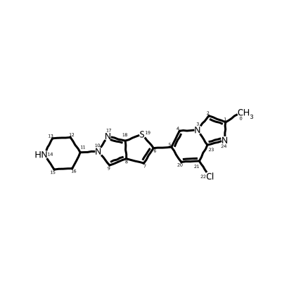 Cc1cn2cc(-c3cc4cn(C5CCNCC5)nc4s3)cc(Cl)c2n1